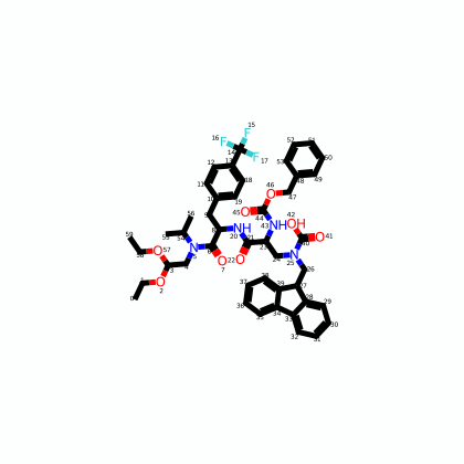 CCOC(CN(C(=O)C(Cc1ccc(C(F)(F)F)cc1)NC(=O)C(CN(CC1c2ccccc2-c2ccccc21)C(=O)O)NC(=O)OCc1ccccc1)C(C)C)OCC